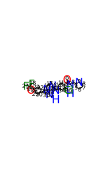 O=C(NCc1ccccn1)c1ccc(Nc2nccn3c(-c4ccc(OC(F)F)cc4)cnc23)cc1Cl